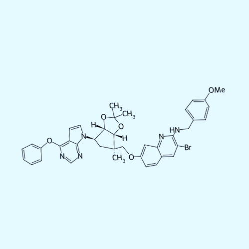 COc1ccc(CNc2nc3cc(OC[C@@]4(C)C[C@@H](n5ccc6c(Oc7ccccc7)ncnc65)[C@@H]5OC(C)(C)O[C@@H]54)ccc3cc2Br)cc1